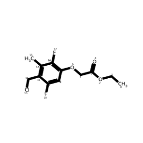 CCOC(=O)COc1cc(F)c(CCl)c(C)c1F